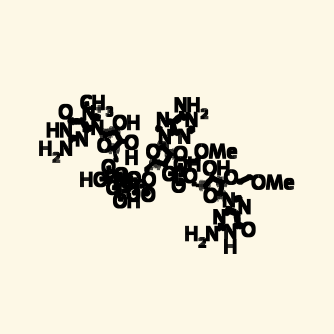 COCCO[C@H]1C(O)[C@@H](COP(=O)(O)OC2[C@@H](COP(=O)(O)OP(=O)(O)OP(=O)(O)OC[C@H]3O[C@@H](n4c[n+](C)c5c(=O)[nH]c(N)nc54)[C@@H](O)C3O)O[C@@H](n3cnc4c(N)ncnc43)[C@H]2OCCOC)O[C@H]1n1cnc2c(=O)[nH]c(N)nc21